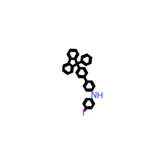 Ic1ccc(Nc2ccc(-c3ccc(C4(c5ccccc5)c5ccccc5-c5ccccc54)cc3)cc2)cc1